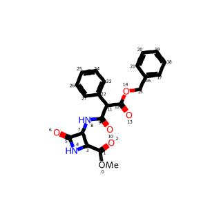 COC(=O)C1NC(=O)C1NC(=O)C(C(=O)OCc1ccccc1)c1ccccc1